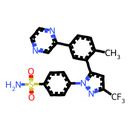 Cc1ccc(-c2cnccn2)cc1-c1cc(C(F)(F)F)nn1-c1ccc(S(N)(=O)=O)cc1